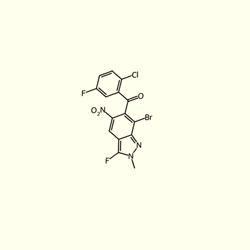 Cn1nc2c(Br)c(C(=O)c3cc(F)ccc3Cl)c([N+](=O)[O-])cc2c1F